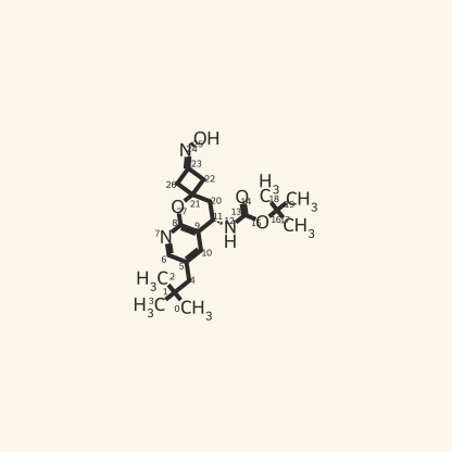 CC(C)(C)Cc1cnc2c(c1)[C@@H](NC(=O)OC(C)(C)C)CC1(CC(=NO)C1)O2